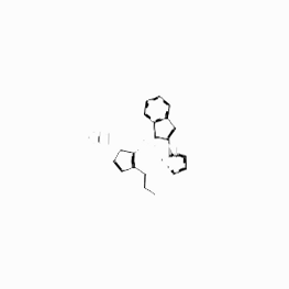 CCCC1=[C]([Zr+2][CH]2C(n3cccn3)=Cc3ccccc32)CC=C1.[Cl-].[Cl-]